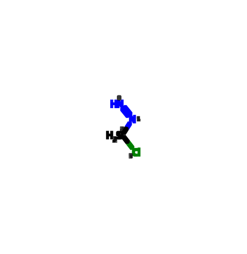 N=N[SiH2]Cl